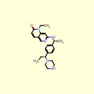 CC[C@@H](c1ccc([C@H](C)Nc2cc3c(ccc(=O)n3CC)cn2)cc1)N1CCNCC1